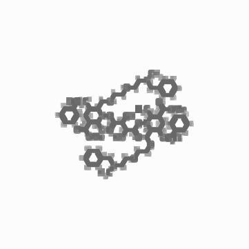 CCOC(=O)C1=C(COCCOCCN(C)Cc2ccccc2)N(OC(=O)C(O)C(O)C(=O)ON2C(C)=C(C(=O)OC)[C@H](c3ccccc3Cl)C(C(=O)OCC)=C2COCCOCCN(C)Cc2ccccc2)C(C)=C(C(=O)OC)[C@@H]1c1ccccc1Cl